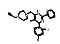 C#CCN1CCN(CC2=C(C)C(c3ccc(F)cc3Cl)N=C(c3ccccn3)N2)CC1